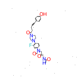 CC(=O)NC[C@H]1CN(c2ccc(N3CCN(C(=O)CCC#Cc4ccc(O)cc4)CC3)c(F)c2)C(=O)O1